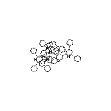 Cc1ccc(-n2c3ccccc3c3ccc4c5ccccc5n(C5(n6c7ccccc7c7ccc8c9ccccc9n(-c9ccc(C)cc9-c9ccccc9)c8c76)c6cc(-c7nc(-c8ccccc8)nc(-c8ccccc8)n7)ccc6-c6ccc(-c7nc(-c8ccccc8)nc(-c8ccccc8)n7)cc65)c4c32)c(-c2ccccc2)c1